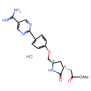 COC(=O)C[C@H]1C[C@H](COc2ccc(-c3ncc(C(=N)N)cn3)cc2)NC1=O.Cl